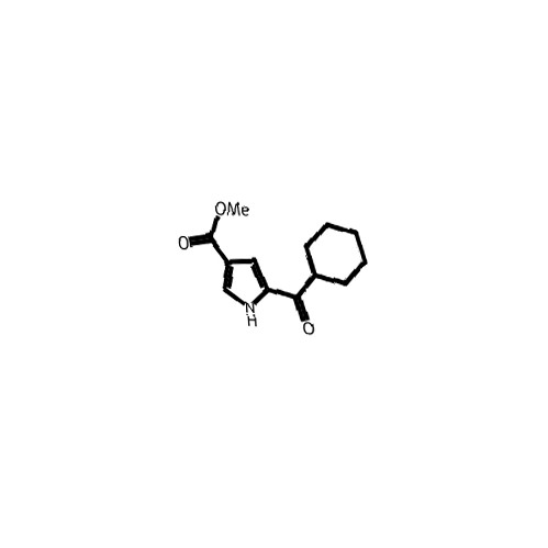 COC(=O)c1c[nH]c(C(=O)C2CCCCC2)c1